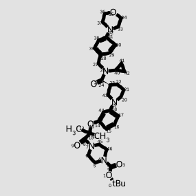 CC(C)(C)OC(=O)N1CCN(C(=O)C(C)(C)Oc2cccc(N3CCC[C@@H](C(=O)N(Cc4ccc(N5CCOCC5)cc4)C4CC4)C3)c2)CC1